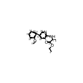 CCOC(=O)[C@H](C)Nc1ccc(-c2ccccc2OC)cn1